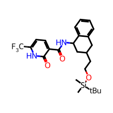 CC(C)(C)[Si](C)(C)OCCC1Cc2ccccc2C(NC(=O)c2ccc(C(F)(F)F)[nH]c2=O)C1